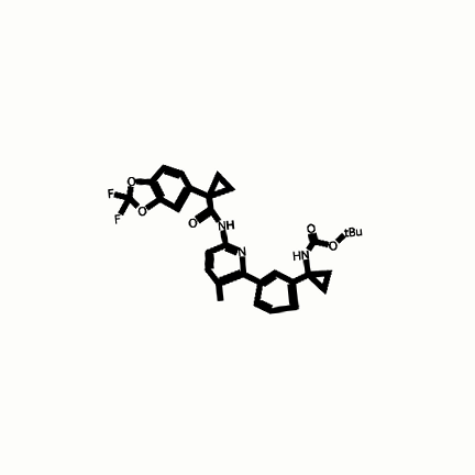 Cc1ccc(NC(=O)C2(c3ccc4c(c3)OC(F)(F)O4)CC2)nc1-c1cccc(C2(NC(=O)OC(C)(C)C)CC2)c1